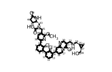 COc1nc(-c2cccc(-c3cccc(-c4ccn5c(=O)c(CNC[C@H]6C[C@H]6CO)cnc5c4)c3Cl)c2Cl)ccc1CN(C[C@@H]1CCC(=O)N1)C(=O)O